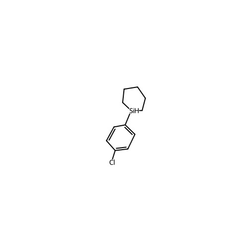 Clc1ccc([SiH]2CCCCC2)cc1